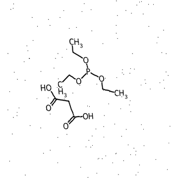 CCOP(OCC)OCC.O=C(O)CC(=O)O